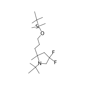 CC(C)(C)N1CC(F)(F)CC1(C)CCCO[Si](C)(C)C(C)(C)C